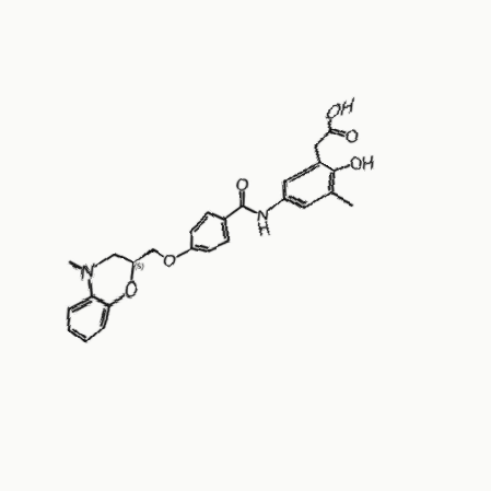 Cc1cc(NC(=O)c2ccc(OC[C@@H]3CN(C)c4ccccc4O3)cc2)cc(CC(=O)O)c1O